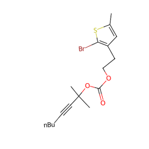 CCCCC#CC(C)(C)OC(=O)OCCc1cc(C)sc1Br